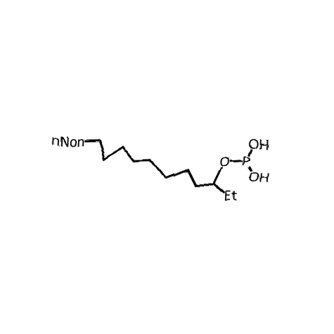 CCCCCCCCCCCCCCCCCC(CC)OP(O)O